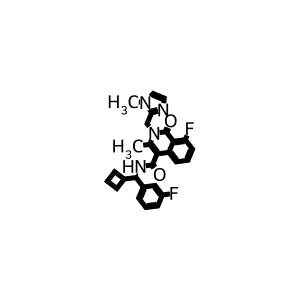 Cc1c(C(=O)N[C@H](c2cccc(F)c2)C2CCC2)c2cccc(F)c2c(=O)n1Cc1nccn1C